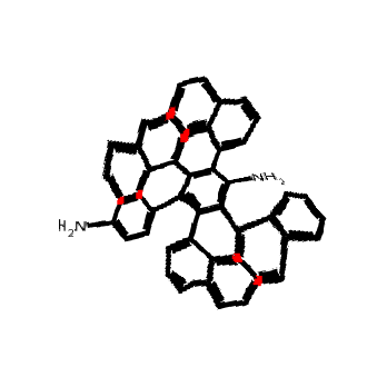 Nc1ccc(-c2c(-c3cccc4ccccc34)c(-c3cccc4ccccc34)c(N)c(-c3cccc4ccccc34)c2-c2cccc3ccccc23)cc1